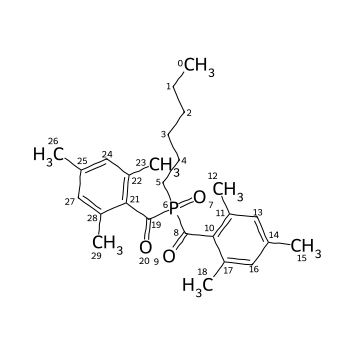 CCCCCCP(=O)(C(=O)c1c(C)cc(C)cc1C)C(=O)c1c(C)cc(C)cc1C